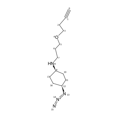 C#CCCOCCCN[C@H]1CC[C@@H](N=[N+]=[N-])CC1